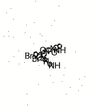 O=C(OC(Cc1ccc(Br)c(Br)c1)C(=O)N1CCN(C2CCNCC2)CC1)N1CCC(N2CCc3ccccc3NC2=O)CC1